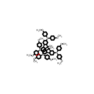 COc1ccc(N(c2ccc(OC)cc2)c2ccc3c(c2)C(C)(C2(C)c4cc(N(c5ccc(OC)cc5)c5ccc(OC)cc5)ccc4-c4ccc(N(c5ccc(OC)cc5)c5ccc(OC)cc5)cc42)c2cc(N(c4ccc(OC)cc4)c4ccc(OC)cc4)ccc2-3)cc1